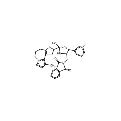 Cc1cnn2c1C1=C(CCC2)SC(C(C)(O)N[C@@H](Cc2cccc(F)c2)CN2C(=O)c3ccccc3C2=O)C1